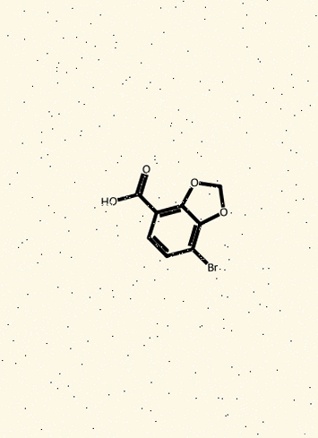 O=C(O)c1ccc(Br)c2c1OCO2